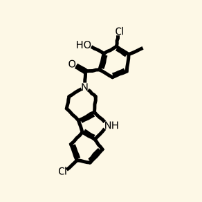 Cc1ccc(C(=O)N2CCc3c([nH]c4ccc(Cl)cc34)C2)c(O)c1Cl